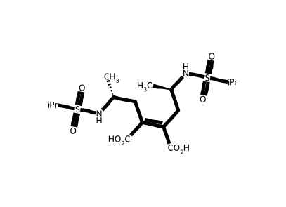 CC(C)S(=O)(=O)N[C@H](C)CC(C(=O)O)=C(C[C@@H](C)NS(=O)(=O)C(C)C)C(=O)O